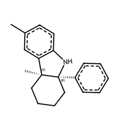 Cc1ccc2c(c1)[C@]1(C)CCCC[C@]1(c1ccccc1)N2